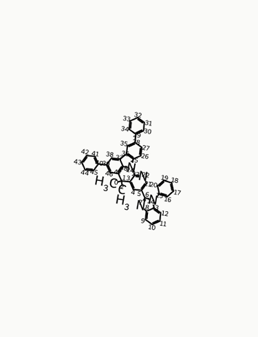 CC1(C)c2cc(-c3nc4ccccc4n3-c3ccccc3)cnc2-n2c3ccc(-c4ccccc4)cc3c3cc(-c4ccccc4)cc1c32